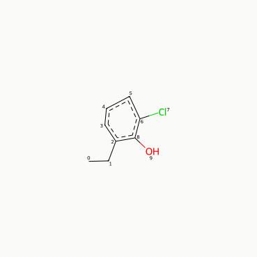 CCc1cccc(Cl)c1O